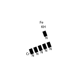 C#N.C#N.C#N.C#N.C#N.C#N.[Cr].[Fe].[KH]